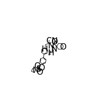 N#C[C@H](Cc1ccc(-c2ccc(OS(=O)(=O)N3CCC3)cc2)cc1)NC(=O)C1(N)CCOCC1